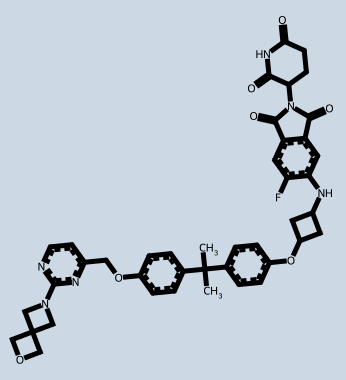 CC(C)(c1ccc(OCc2ccnc(N3CC4(COC4)C3)n2)cc1)c1ccc(OC2CC(Nc3cc4c(cc3F)C(=O)N(C3CCC(=O)NC3=O)C4=O)C2)cc1